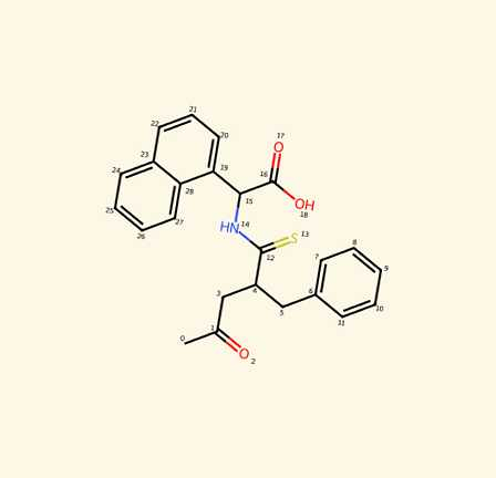 CC(=O)CC(Cc1ccccc1)C(=S)NC(C(=O)O)c1cccc2ccccc12